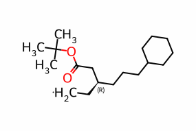 [CH2]C[C@H](CCCC1CCCCC1)CC(=O)OC(C)(C)C